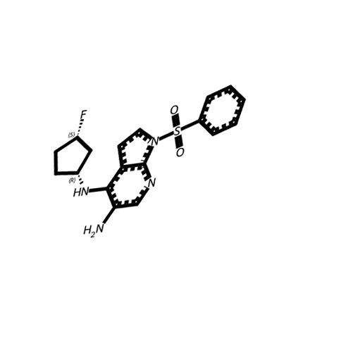 Nc1cnc2c(ccn2S(=O)(=O)c2ccccc2)c1N[C@@H]1CC[C@H](F)C1